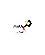 CCCOC(OC)c1cccs1